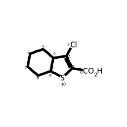 O=C(O)C1=C(Cl)C2CCCCC2S1